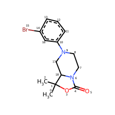 CC1(C)OC(=O)N2CCN(c3cccc(Br)c3)CC21